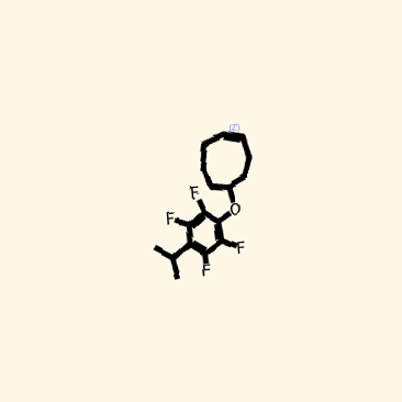 CC(C)c1c(F)c(F)c(OC2CC/C=C\CCC2)c(F)c1F